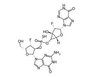 Nc1nc2c(ncn2[C@@H]2O[C@H](CO)[C@H](F)[C@H]2O[P@](=O)(S)OC2[C@H]3O[C@@H](n4cnc5c(=O)[nH]cnc54)[C@@H](F)[C@@]23O)c(=O)[nH]1